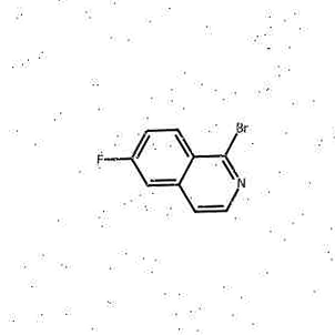 Fc1ccc2c(Br)nccc2c1